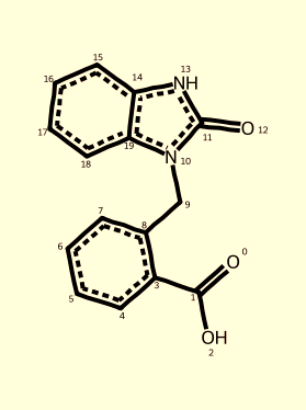 O=C(O)c1ccccc1Cn1c(=O)[nH]c2ccccc21